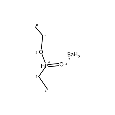 CCO[PH](=O)CC.[BaH2]